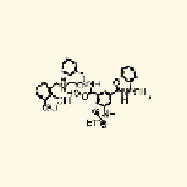 CCS(=O)(=O)Nc1cc(C(=O)N[C@@H](Cc2ccccc2)[C@H](O)CNCc2cccc(C(C)(C)C)c2O)cc(C(=O)N[C@H](C)c2ccccc2)c1